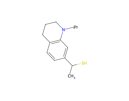 CC(S)c1ccc2c(c1)N(C(C)C)CCC2